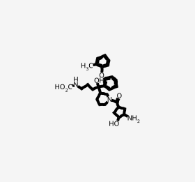 Cc1ccccc1Oc1ccccc1C(O)(CCCNC(=O)O)C1CCCN(C(=O)C2CC(N)C(O)C2)C1